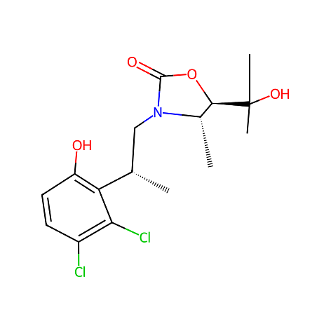 C[C@@H](CN1C(=O)O[C@@H](C(C)(C)O)[C@@H]1C)c1c(O)ccc(Cl)c1Cl